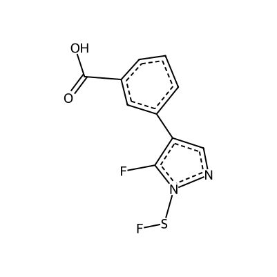 O=C(O)c1cccc(-c2cnn(SF)c2F)c1